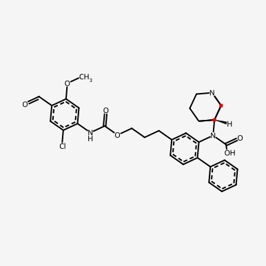 COc1cc(NC(=O)OCCCc2ccc(-c3ccccc3)c(N(C(=O)O)[C@H]3CN4CCC3CC4)c2)c(Cl)cc1C=O